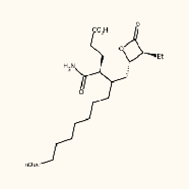 CCCCCCCCCCCCCCCCCC(C[C@@H]1OC(=O)[C@H]1CC)[C@H](CCC(=O)O)C(N)=O